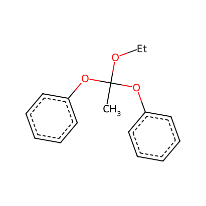 CCOC(C)(Oc1ccccc1)Oc1ccccc1